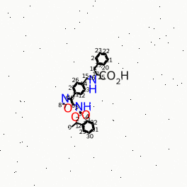 CC(OC(=O)Nc1ocnc1-c1ccc(CNC(Cc2ccccc2)C(=O)O)cc1)c1ccccc1